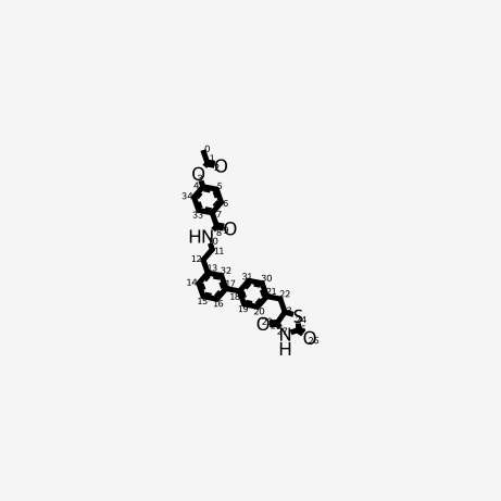 CC(=O)Oc1ccc(C(=O)NCCc2cccc(-c3ccc(CC4SC(=O)NC4=O)cc3)c2)cc1